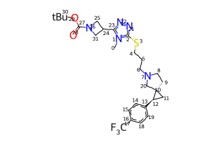 Cn1c(SCCCN2CC[C@@]3(C[C@H]3c3ccc(C(F)(F)F)cc3)C2)nnc1C1CN(C(=O)OC(C)(C)C)C1